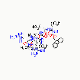 CSCC[C@H](NC(=O)[C@H](CCC(=O)O)NC(=O)[C@H](CCC(=O)O)NC(=O)OCC1c2ccccc2-c2ccccc21)C(=O)N[C@@H](CCC(=O)O)C(=O)N[C@@H](CCCNC(=N)N)C(=O)N[C@@H](CCCNC(=N)N)C(=O)N[C@@H](C)C(=O)O